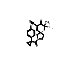 CC1(C)C[C@]2(C=C(C#N)C1=O)CCN(C(=O)C1(c3ccc(Cl)cc3)CC1)C2